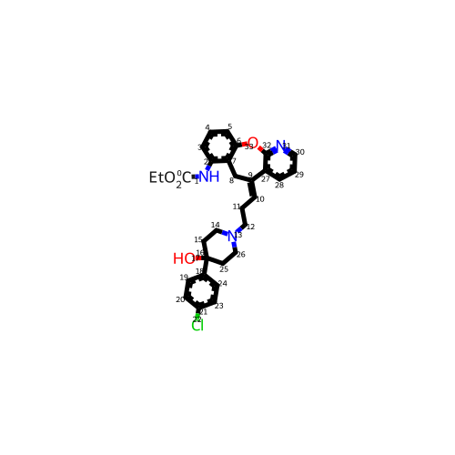 CCOC(=O)Nc1cccc2c1CC(=CCCN1CCC(O)(c3ccc(Cl)cc3)CC1)c1cccnc1O2